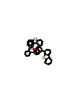 C1=CCC(c2ccccc2-c2cccc(-c3cccc4oc5cccc(Nc6ccc(-c7cccc8c7oc7ccccc78)cc6)c5c34)c2)C=C1